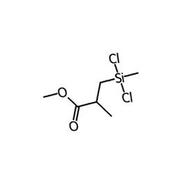 COC(=O)C(C)C[Si](C)(Cl)Cl